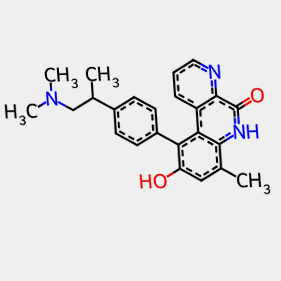 Cc1cc(O)c(-c2ccc(C(C)CN(C)C)cc2)c2c1[nH]c(=O)c1ncccc12